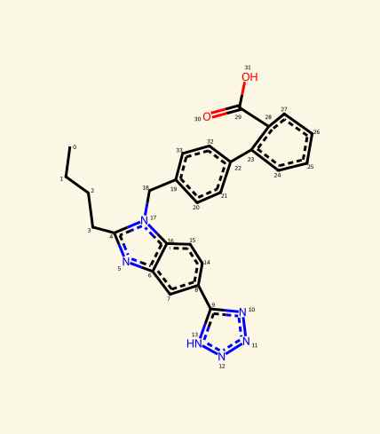 CCCCc1nc2cc(-c3nnn[nH]3)ccc2n1Cc1ccc(-c2ccccc2C(=O)O)cc1